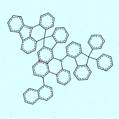 c1ccc(C2(c3ccccc3)c3ccccc3-c3c(N(c4ccccc4-c4ccccc4-c4cccc5ccccc45)c4cccc5c4-c4ccccc4C54c5ccccc5-n5c6ccccc6c6cccc4c65)cccc32)cc1